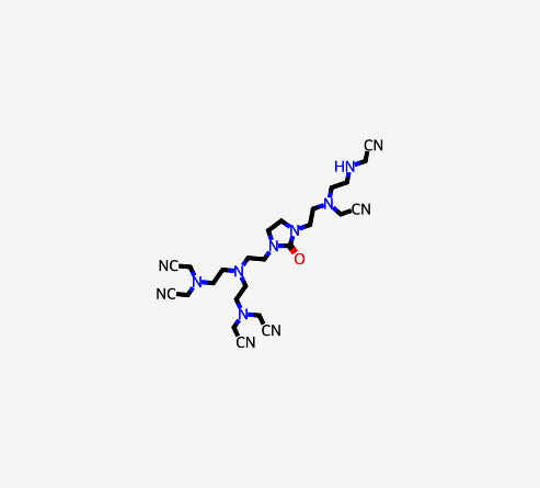 N#CCNCCN(CC#N)CCN1CCN(CCN(CCN(CC#N)CC#N)CCN(CC#N)CC#N)C1=O